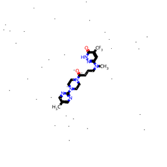 Cc1cnc(N2CCN(C(=O)CCCN(C)c3cc(C(F)(F)F)c(=O)[nH]n3)CC2)nc1